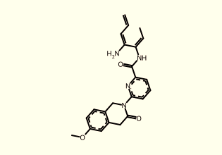 C=C/C=C(N)\C(=C/C)NC(=O)c1cccc(N2Cc3ccc(OC)cc3CC2=O)n1